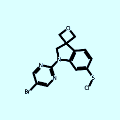 ClSc1ccc2c(c1)N(c1ncc(Br)cn1)CC21COC1